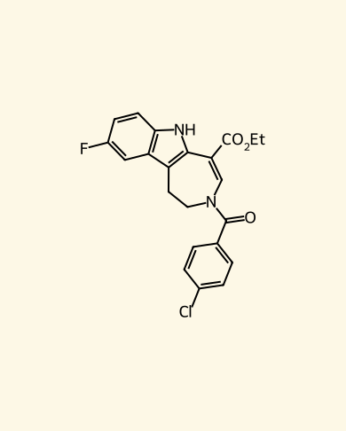 CCOC(=O)C1=CN(C(=O)c2ccc(Cl)cc2)CCc2c1[nH]c1ccc(F)cc21